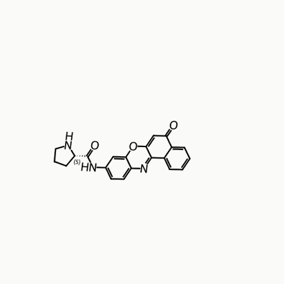 O=C(Nc1ccc2nc3c4ccccc4c(=O)cc-3oc2c1)[C@@H]1CCCN1